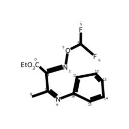 CCOC(=O)C(=NOC(F)F)C(C)=Nc1ccccc1